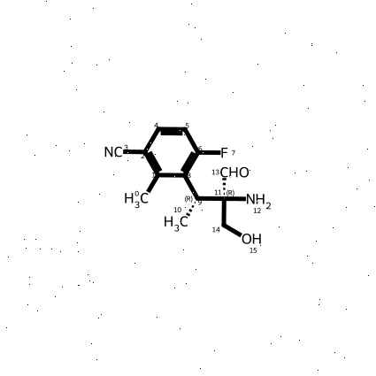 Cc1c(C#N)ccc(F)c1[C@@H](C)[C@](N)(C=O)CO